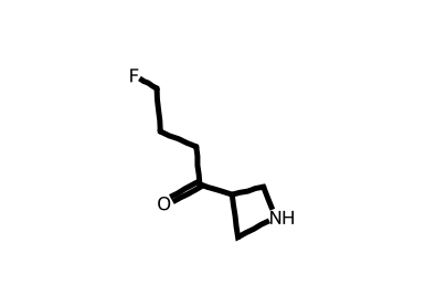 O=C(CCCF)C1CNC1